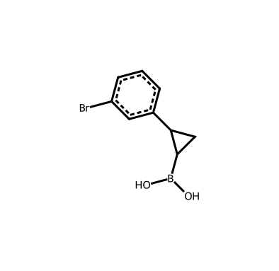 OB(O)C1CC1c1cccc(Br)c1